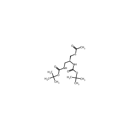 CC(=O)SC[C@H](CNC(=O)OC(C)(C)C)NC(=O)OC(C)(C)C